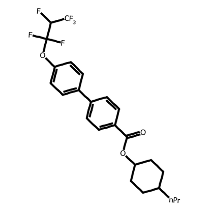 CCCC1CCC(OC(=O)c2ccc(-c3ccc(OC(F)(F)C(F)C(F)(F)F)cc3)cc2)CC1